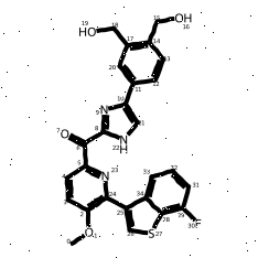 COc1ccc(C(=O)c2nc(-c3ccc(CO)c(CO)c3)c[nH]2)nc1-c1csc2c(F)cccc12